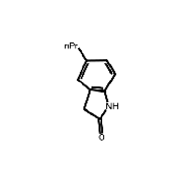 CCCc1ccc2c(c1)CC(=O)N2